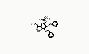 COC(=O)C1O[C@@H](OC(=N)C(Cl)(Cl)Cl)C(OCc2ccccc2)C(OCc2ccccc2)[C@@H]1O